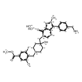 COC(=O)c1cc(F)c(CN2CCC(O)(Cn3cnc4c(-c5ccc(CN)cc5)n(C)nc4c3=O)CC2)c(Cl)c1.Cl.Cl